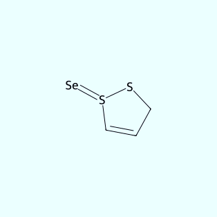 [Se]=S1C=CCS1